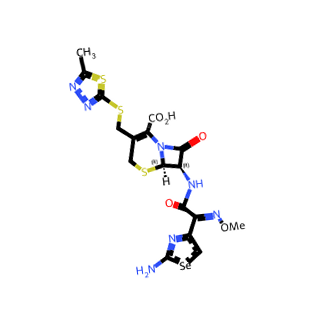 CON=C(C(=O)N[C@@H]1C(=O)N2C(C(=O)O)=C(CSc3nnc(C)s3)CS[C@H]12)c1c[se]c(N)n1